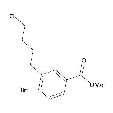 COC(=O)c1ccc[n+](CCCCCl)c1.[Br-]